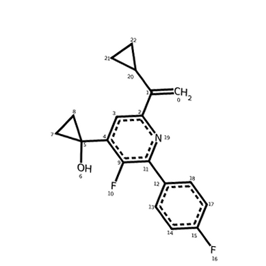 C=C(c1cc(C2(O)CC2)c(F)c(-c2ccc(F)cc2)n1)C1CC1